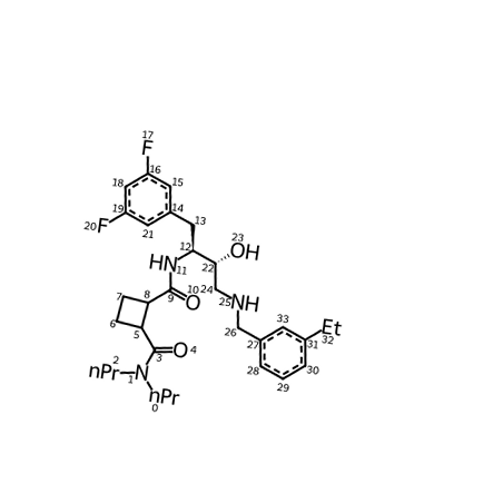 CCCN(CCC)C(=O)C1CCC1C(=O)N[C@@H](Cc1cc(F)cc(F)c1)[C@H](O)CNCc1cccc(CC)c1